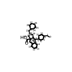 CCc1ccc(C23CCC(c4ccccc42)C2(C(=O)O)CN(Cc4ccccc4)CC32)cc1